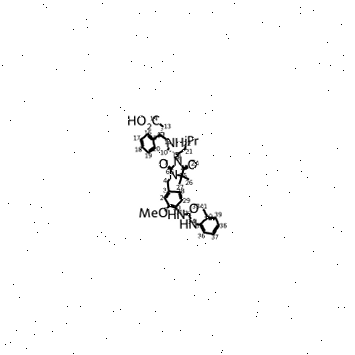 COc1cc(CN2C(=O)N([C@H](CN[C@@H](CC(=O)O)c3ccccc3)CC(C)C)C(=O)C2(C)C)ccc1NC(=O)Nc1ccccc1C